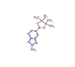 Cn1nc2cc(B3OC(C)(C)C(C)(C)O3)cnc2n1